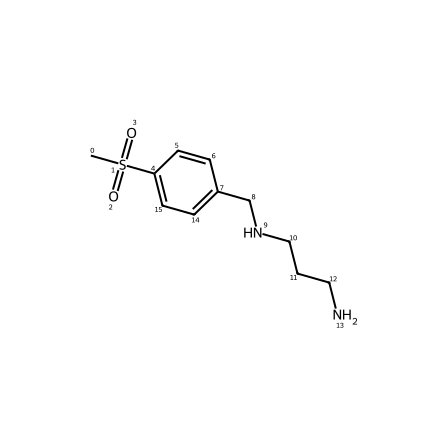 CS(=O)(=O)c1ccc(CNCCCN)cc1